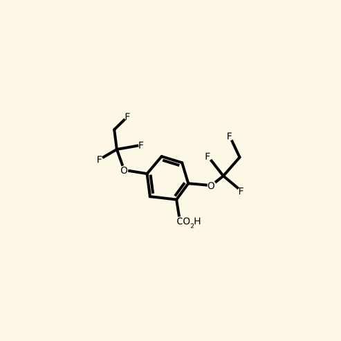 O=C(O)c1cc(OC(F)(F)CF)ccc1OC(F)(F)CF